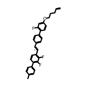 C=CCCCOc1ccc(-c2ccc(/C=C/c3ccc(-c4ccc(C)cc4)c(F)c3F)cc2)c(F)c1